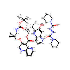 CCOC(=O)c1c(OCC2(CNC(=O)OC(C)(C)C)CC2)cnc2cccnc12.CCc1nc2cccnc2cc1O.O=C(N=NC(=O)N1CCCCC1)N1CCCCC1